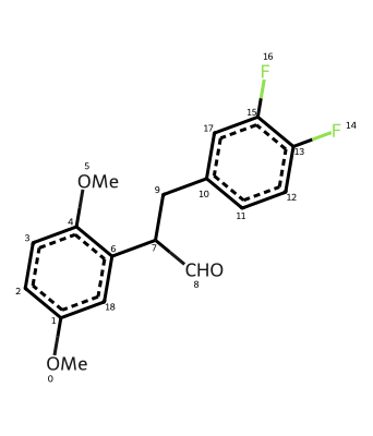 COc1ccc(OC)c(C(C=O)Cc2ccc(F)c(F)c2)c1